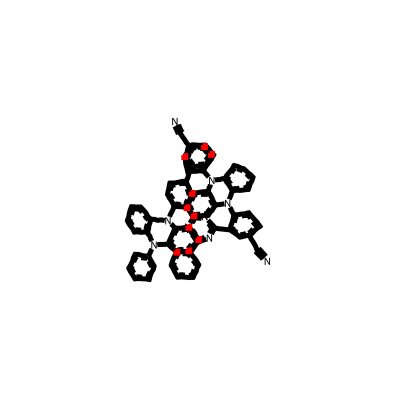 N#Cc1cccc(-c2ccc(N3c4ccccc4N(c4ccccc4)c4ccccc43)c(-c3nc(-c4ccccc4)nc(-c4cc(C#N)ccc4N4c5ccccc5N(c5ccccc5)c5ccccc54)n3)c2)c1